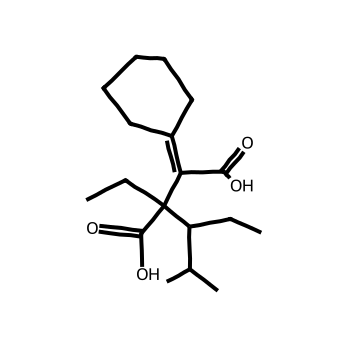 CCC(C(C)C)C(CC)(C(=O)O)C(C(=O)O)=C1CCCCC1